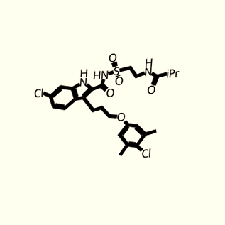 Cc1cc(OCCCc2c(C(=O)NS(=O)(=O)CCNC(=O)C(C)C)[nH]c3cc(Cl)ccc23)cc(C)c1Cl